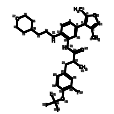 Cc1noc(C)c1-c1ccc(NCCC2CCOCC2)c(NC(=O)C(C)Cc2ccc(OC(F)(F)F)c(F)c2)c1